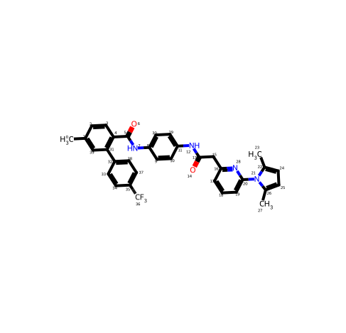 Cc1ccc(C(=O)Nc2ccc(NC(=O)Cc3cccc(-n4c(C)ccc4C)n3)cc2)c(-c2ccc(C(F)(F)F)cc2)c1